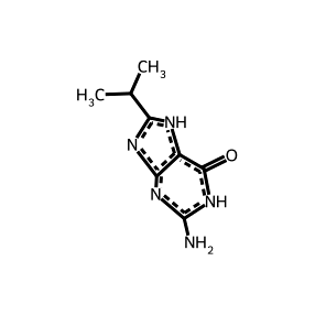 CC(C)c1nc2nc(N)[nH]c(=O)c2[nH]1